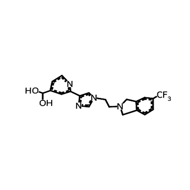 OC(O)c1ccnc(-c2cn(CCN3Cc4ccc(C(F)(F)F)cc4C3)cn2)c1